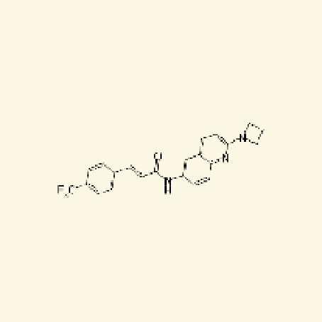 O=C(C=Cc1ccc(C(F)(F)F)cc1)Nc1ccc2nc(N3CCC3)ccc2c1